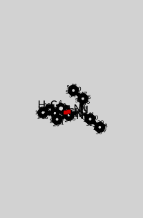 CC1CC2CC(C)C3(c4ccc5ccccc5c4-c4cccc(-c5ccc(-c6nc(-c7ccc(-c8ccccc8)cc7)nc(-c7cccc(-c8ccccc8)c7)n6)cc5)c43)C(C1)C2